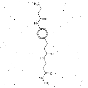 CCCC(=O)Nc1ccc(CCC(=O)NCCC(=O)NC)cc1